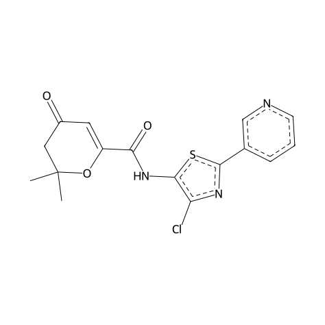 CC1(C)CC(=O)C=C(C(=O)Nc2sc(-c3cccnc3)nc2Cl)O1